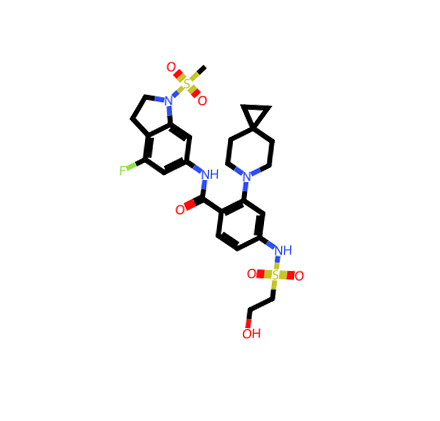 CS(=O)(=O)N1CCc2c(F)cc(NC(=O)c3ccc(NS(=O)(=O)CCO)cc3N3CCC4(CC3)CC4)cc21